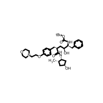 C[C@H]1C[C@@H](O)C[C@H]1NC(=O)[C@H](Cc1ccc(OCCN2CCOCC2)cc1)C[C@H](O)[C@H](Cc1ccccc1)NC(=O)OC(C)(C)C